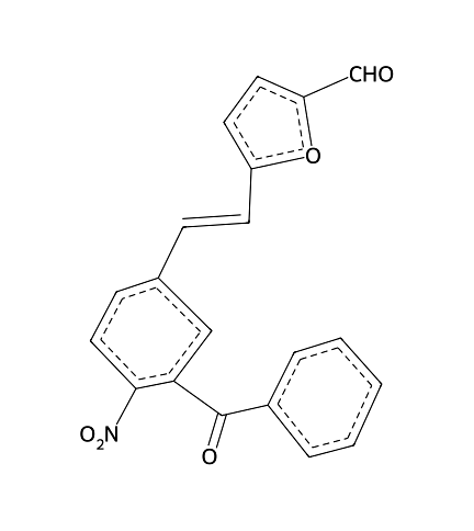 O=Cc1ccc(C=Cc2ccc([N+](=O)[O-])c(C(=O)c3ccccc3)c2)o1